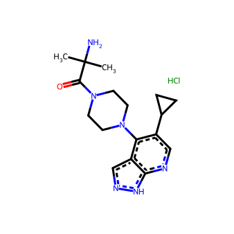 CC(C)(N)C(=O)N1CCN(c2c(C3CC3)cnc3[nH]ncc23)CC1.Cl